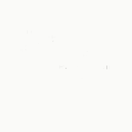 Cc1ccccc1C(=O)NCCC(C)(C)C